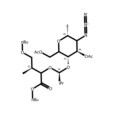 CCCCOC[C@H](C)C(O[C@@H](O[C@@H]1C(COC(C)=O)O[C@H](C)C(N=[N+]=[N-])[C@H]1OC(C)=O)C(C)C)C(=O)OCCCC